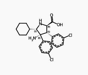 N[C@]1(c2ccc(Cl)cc2)[C@H](C2CCCCC2)N[C@@H](C(=O)O)[C@@H]1c1cccc(Cl)c1